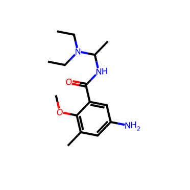 CCN(CC)C(C)NC(=O)c1cc(N)cc(C)c1OC